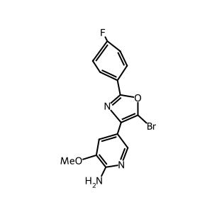 COc1cc(-c2nc(-c3ccc(F)cc3)oc2Br)cnc1N